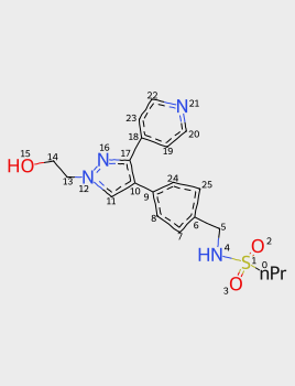 CCCS(=O)(=O)NCc1ccc(-c2cn(CCO)nc2-c2ccncc2)cc1